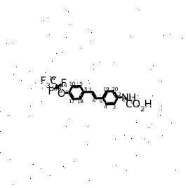 O=C(O)Nc1ccc(C=Cc2ccc(OC(F)(F)C(F)(F)F)cc2)cc1